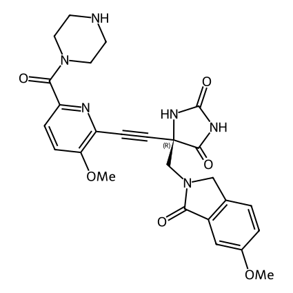 COc1ccc2c(c1)C(=O)N(C[C@@]1(C#Cc3nc(C(=O)N4CCNCC4)ccc3OC)NC(=O)NC1=O)C2